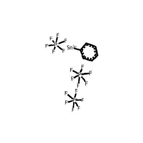 F[P-](F)(F)(F)(F)F.F[P-](F)(F)(F)(F)F.F[P-](F)(F)(F)(F)F.[Sn+3][c]1ccccc1